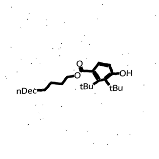 CCCCCCCCCCCCCCOC(=O)c1ccc(O)c(C(C)(C)C)c1C(C)(C)C